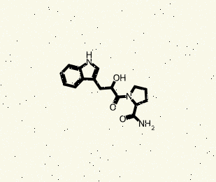 NC(=O)C1CCCN1C(=O)C(O)Cc1c[nH]c2ccccc12